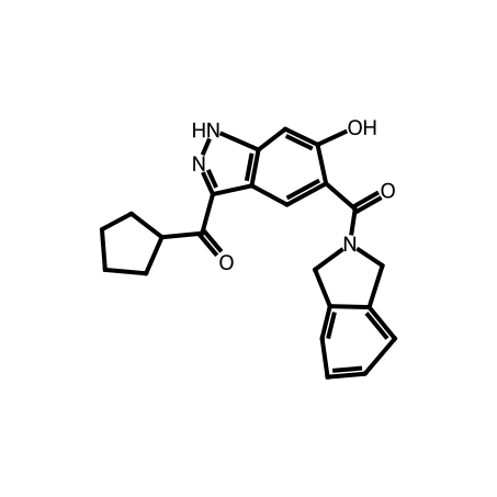 O=C(c1n[nH]c2cc(O)c(C(=O)N3Cc4ccccc4C3)cc12)C1CCCC1